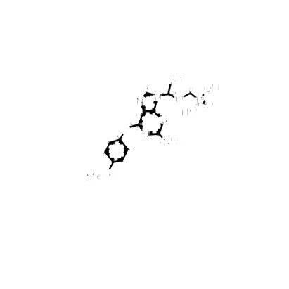 COc1ccc(Sc2nc(N)nc3c2ncn3C(C)OCP(=O)(O)O)cc1